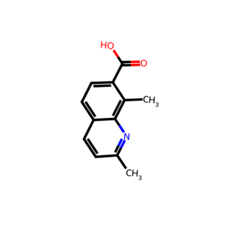 Cc1ccc2ccc(C(=O)O)c(C)c2n1